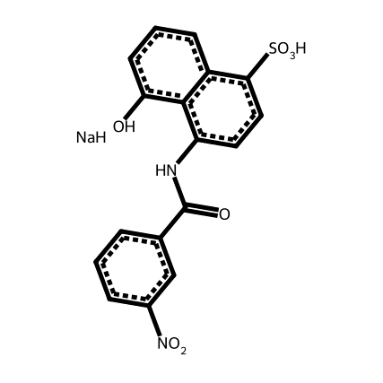 O=C(Nc1ccc(S(=O)(=O)O)c2cccc(O)c12)c1cccc([N+](=O)[O-])c1.[NaH]